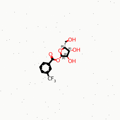 O=C(O[C@H]1O[C@H](CO)[C@H](O)[C@H]1O)c1cccc(C(F)(F)F)c1